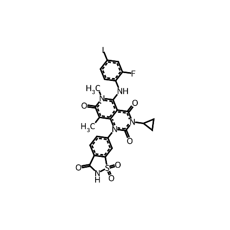 Cc1c(=O)n(C)c(Nc2ccc(I)cc2F)c2c(=O)n(C3CC3)c(=O)n(-c3ccc4c(c3)S(=O)(=O)NC4=O)c12